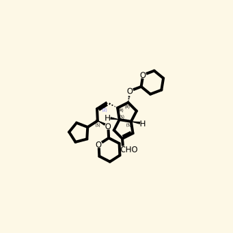 O=CC1=C[C@H]2C[C@@H](OC3CCCCO3)[C@@H](/C=C\[C@@H](OC3CCCCO3)C3CCCC3)[C@H]2C1